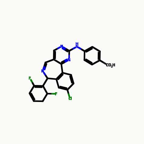 O=C(O)c1ccc(Nc2ncc3c(n2)-c2ccc(Cl)cc2C(C2=C(F)C=CCC2F)N=C3)cc1